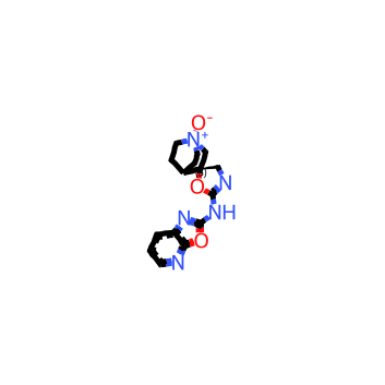 [O-][N+]12CCC(CC1)[C@]1(CN=C(Nc3nc4cccnc4o3)O1)C2